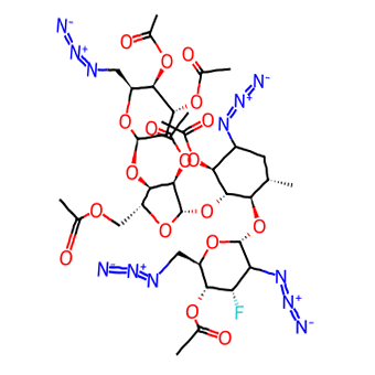 CC(=O)OC[C@H]1O[C@@H](O[C@H]2[C@H](O[C@H]3O[C@H](CN=[N+]=[N-])[C@@H](OC(C)=O)[C@@H](F)C3N=[N+]=[N-])[C@@H](C)CC(N=[N+]=[N-])[C@@H]2OC(C)=O)[C@H](OC(C)=O)[C@@H]1O[C@@H]1C[C@@H](OC(C)=O)[C@H](OC(C)=O)[C@H](CN=[N+]=[N-])O1